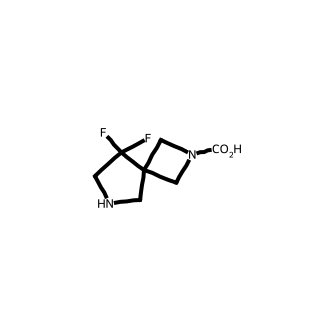 O=C(O)N1CC2(CNCC2(F)F)C1